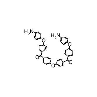 Nc1ccc(Oc2ccc(C(=O)c3ccc(Oc4ccc(C(=O)c5ccc(Oc6ccc(N)cc6)cc5)cc4)cc3)cc2)cc1